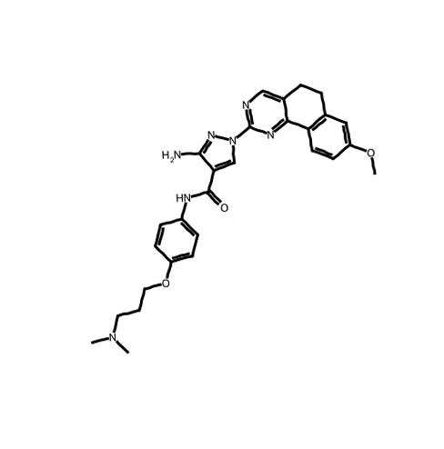 COc1ccc2c(c1)CCc1cnc(-n3cc(C(=O)Nc4ccc(OCCCN(C)C)cc4)c(N)n3)nc1-2